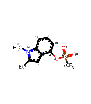 CCc1cc2c(OS(=O)(=O)C(F)(F)F)cccc2n1C